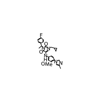 COc1cc(Nc2cn(CC3CC3)c(=O)n(C(C)c3ccc(F)cc3)c2=O)ccc1-n1cnc(C)c1